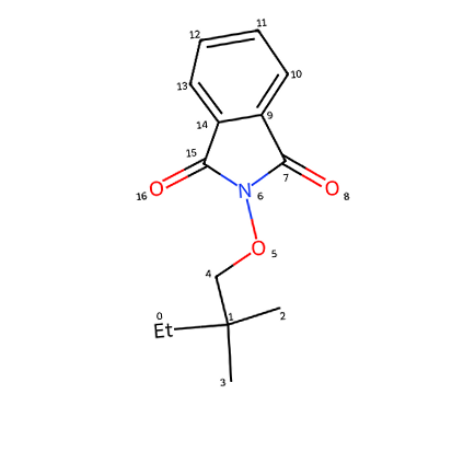 CCC(C)(C)CON1C(=O)c2ccccc2C1=O